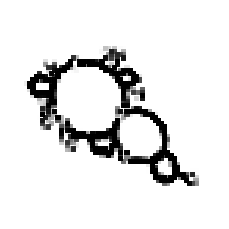 O=C1NS(=O)(=O)[C@@H]2CCC[C@H]2CCC[C@H](O)[C@@H]2CC[C@H]2CN2CCCCc3cc(Cl)ccc3COc3ccc1cc32